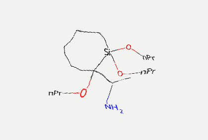 CCCOC1(C(C)N)CCCC[Si]1(OCCC)OCCC